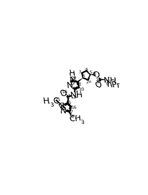 CCCNC(=O)O[C@@H]1CC[C@H](c2cc(NC(=O)c3cc(C)nn3C)n[nH]2)C1